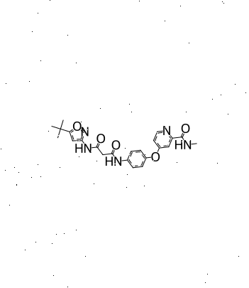 CNC(=O)c1cc(Oc2ccc(NC(=O)CC(=O)Nc3cc(C(C)(C)C)on3)cc2)ccn1